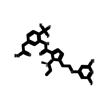 CC[C@H](C)n1c(CCOc2cc(F)nc(Cl)c2)ccc1C(=O)Nc1cc(CC(=O)O)ccc1C(F)(F)F